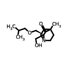 CC(C)COC[C@@]1(CO)C(=O)C2(C)CCN1CC2